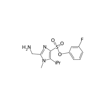 CC(C)c1c(S(=O)(=O)Oc2cccc(F)c2)nc(CN)n1C